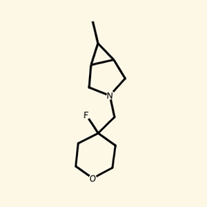 CC1C2CN(CC3(F)CCOCC3)CC12